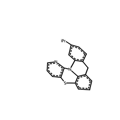 CC(C)c1ccc2c(c1)N1c3ncccc3Sc3cccc(c31)C2